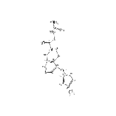 NC(=O)NCC(=O)N1CCc2c(cccc2Oc2ccc(C(F)(F)F)cc2)C1